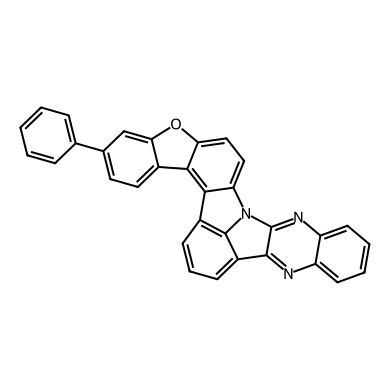 c1ccc(-c2ccc3c(c2)oc2ccc4c(c5cccc6c7nc8ccccc8nc7n4c65)c23)cc1